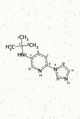 CC(C)(C)Nc1ccc(-n2ccnc2)nc1